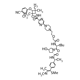 C=N/C(C)=C(\SC)c1ccc([C@H](C)NC(=O)[C@@H]2C[C@@H](O)CN2C(=O)[C@@H](NC(=O)COCCN2CCN(c3cnc(C(=O)N[C@H]4C(C)(C)[C@H](Oc5ccc(C#N)c(C(F)(F)F)c5)C4(C)C)cn3)CC2)C(C)(C)C)cc1